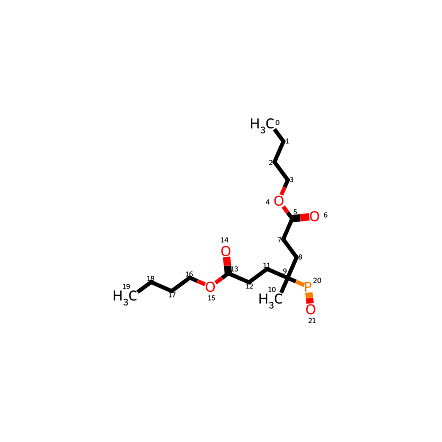 CCCCOC(=O)CCC(C)(CCC(=O)OCCCC)P=O